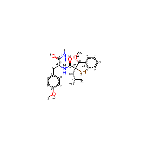 CNC(=O)[C@H](Cc1ccc(OC)cc1)NC(=O)C(S)(CC(C)C)C(OC)c1ccccc1